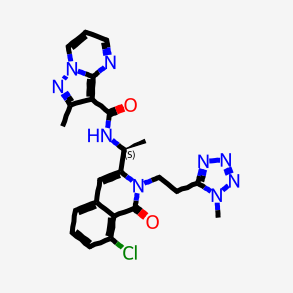 Cc1nn2cccnc2c1C(=O)N[C@@H](C)c1cc2cccc(Cl)c2c(=O)n1CCc1nnnn1C